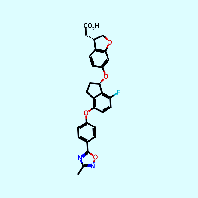 Cc1noc(-c2ccc(Oc3ccc(F)c4c3CC[C@H]4Oc3ccc4c(c3)OC[C@H]4CC(=O)O)cc2)n1